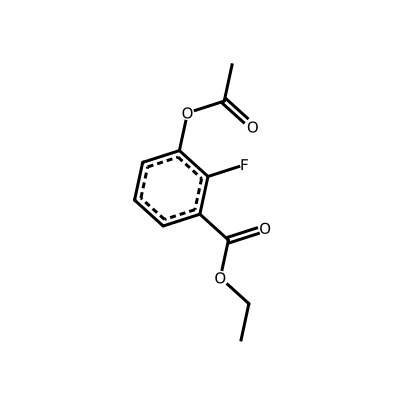 CCOC(=O)c1cccc(OC(C)=O)c1F